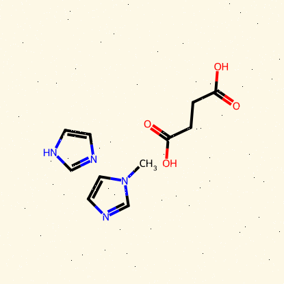 Cn1ccnc1.O=C(O)CCC(=O)O.c1c[nH]cn1